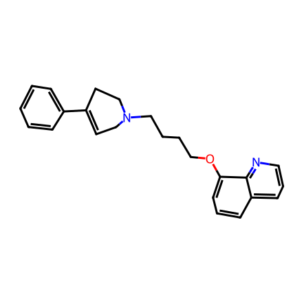 C1=C(c2ccccc2)CCN(CCCCOc2cccc3cccnc23)C1